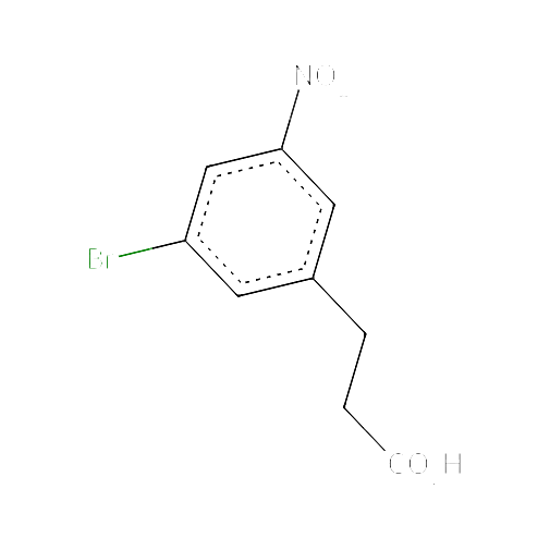 O=C(O)CCc1cc(Br)cc([N+](=O)[O-])c1